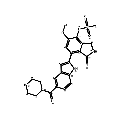 COc1cc(-c2cc3cc(C(=O)N4CCNCC4)ccc3[nH]2)c2c(c1OS(C)(=O)=O)CNC2=O